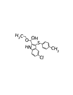 CCOC(O)c1[nH]c2ccc(Cl)cc2c1Sc1ccc(C)cc1